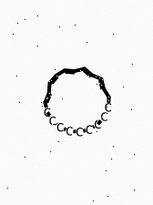 [C]1=C/C=C\C=C\C=C\C=C\CCCCCCCCCC/1